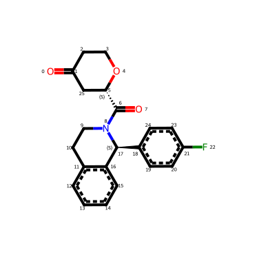 O=C1CCO[C@H](C(=O)N2CCc3ccccc3[C@@H]2c2ccc(F)cc2)C1